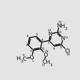 COc1cccc(-c2cc(Cl)nc(N)n2)c1OC